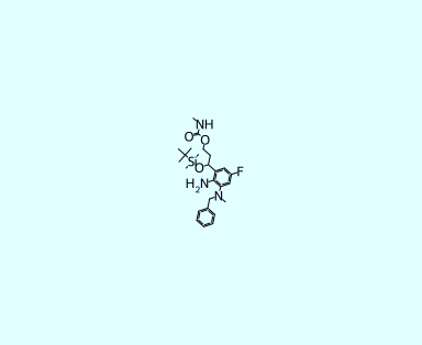 CNC(=O)OCCC(O[Si](C)(C)C(C)(C)C)c1cc(F)cc(N(C)Cc2ccccc2)c1N